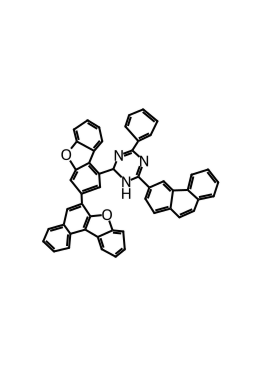 c1ccc(C2=NC(c3cc(-c4cc5ccccc5c5c4oc4ccccc45)cc4oc5ccccc5c34)NC(c3ccc4ccc5ccccc5c4c3)=N2)cc1